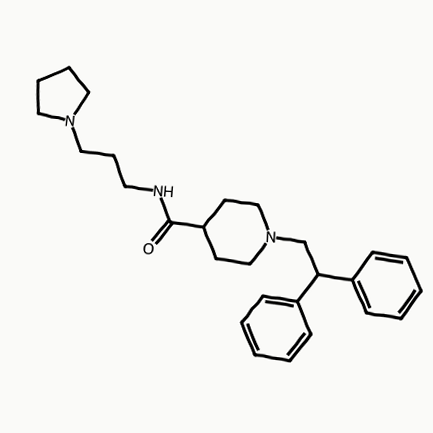 O=C(NCCCN1CCCC1)C1CCN(CC(c2ccccc2)c2ccccc2)CC1